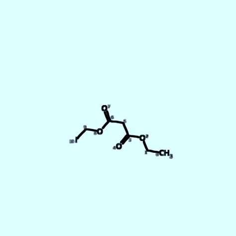 CCOC(=O)CC(=O)OCI